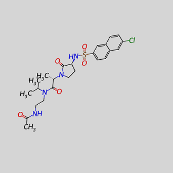 CC(=O)NCCN(C(=O)[C@H](C)N1CC[C@H](NS(=O)(=O)c2ccc3cc(Cl)ccc3c2)C1=O)C(C)C